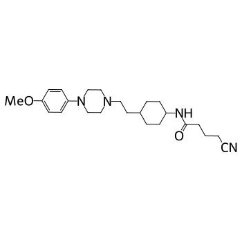 COc1ccc(N2CCN(CCC3CCC(NC(=O)CCCC#N)CC3)CC2)cc1